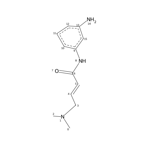 CN(C)C/C=C/C(=O)Nc1cccc(N)c1